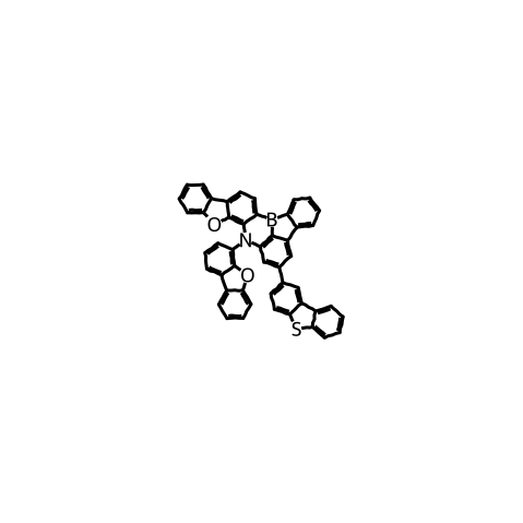 c1ccc2c(c1)B1c3ccc4c(oc5ccccc54)c3N(c3cccc4c3oc3ccccc34)c3cc(-c4ccc5sc6ccccc6c5c4)cc-2c31